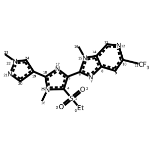 CCS(=O)(=O)c1c(-c2nc3cc(C(F)(F)F)ncc3n2C)nc(-c2cnn(C)c2)n1C